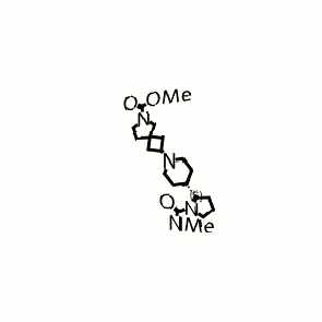 CNC(=O)N1CCC[C@H]1C1CCN(C2CC3(CCN(C(=O)OC)C3)C2)CC1